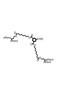 CCCCCC(CCCCC)CCOC(=O)CCCCCCCOC(=O)c1cc(C=O)cc(C(=O)OCCCCCCCC(=O)OCCC(CCCCC)CCCCC)c1